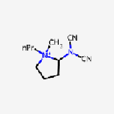 CCC[N+]1(C)CCCC1N(C#N)C#N